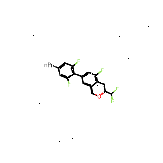 CCCc1cc(F)c(-c2cc(F)c3c(c2)COC(C(F)F)C3)c(F)c1